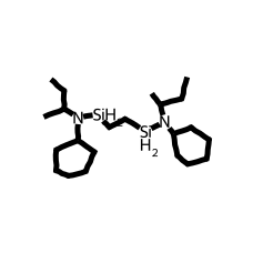 CCC(C)N([SiH2]CC[SiH2]N(C(C)CC)C1CCCCC1)C1CCCCC1